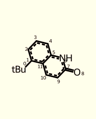 CC(C)(C)c1cccc2[nH]c(=O)ccc12